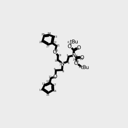 CC(C)(C)OC(=O)N(CCN(CCOCc1ccccc1)CCOCc1ccccc1)C(=O)OC(C)(C)C